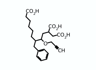 C#CCOC(CC(CC(=O)O)C(=O)O)C(CCCCCC(=O)O)Cc1ccccc1